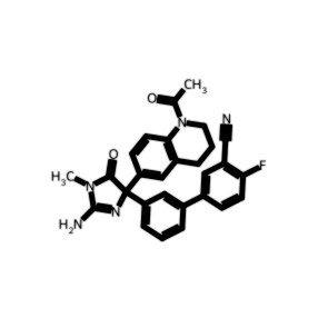 CC(=O)N1CCCc2cc(C3(c4cccc(-c5ccc(F)c(C#N)c5)c4)N=C(N)N(C)C3=O)ccc21